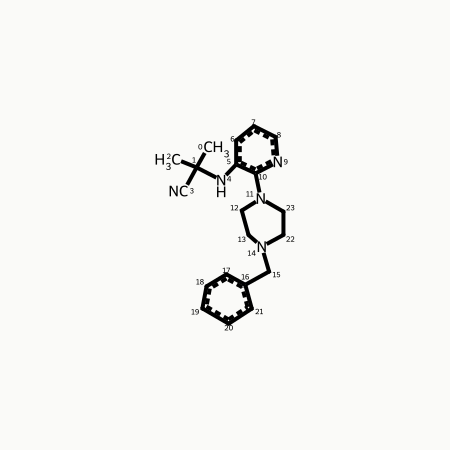 CC(C)(C#N)Nc1cccnc1N1CCN(Cc2ccccc2)CC1